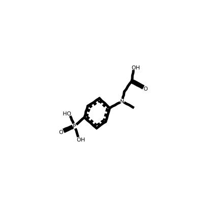 CN(CC(=O)O)c1ccc(P(=O)(O)O)cc1